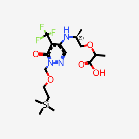 CC(OC[C@H](C)Nc1cnn(COCC[Si](C)(C)C)c(=O)c1C(F)(F)F)C(=O)O